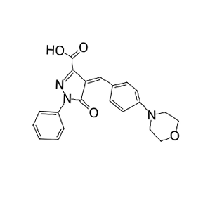 O=C(O)C1=NN(c2ccccc2)C(=O)/C1=C\c1ccc(N2CCOCC2)cc1